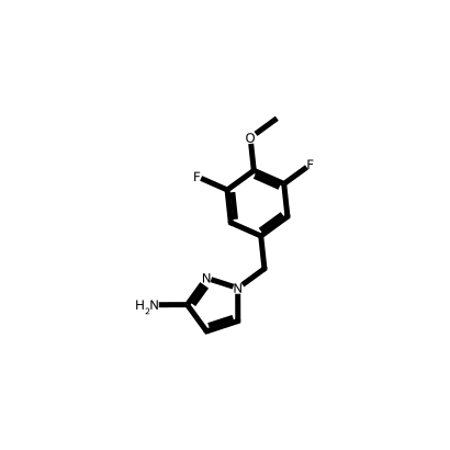 COc1c(F)cc(Cn2ccc(N)n2)cc1F